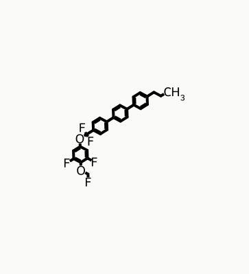 CCCc1ccc(-c2ccc(-c3ccc(C(F)(F)Oc4cc(F)c(OCF)c(F)c4)cc3)cc2)cc1